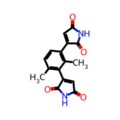 Cc1ccc(C2=CC(=O)NC2=O)c(C)c1C1=CC(=O)NC1=O